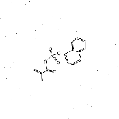 C=C(C)C(=O)OS(=O)(=O)Oc1cccc2ccccc12